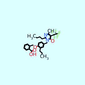 CCCCc1nc(C)c(C(F)(F)C(F)(F)F)c(=O)n1Cc1ccc(OCc2ccccc2C(=O)O)c(CCC)c1